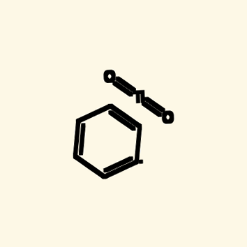 [O]=[Ti]=[O].[c]1ccccc1